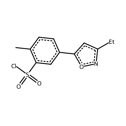 CCc1cc(-c2ccc(C)c(S(=O)(=O)Cl)c2)on1